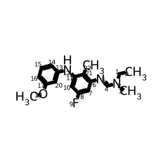 CCN(C)/C=N/c1cc(F)cc(Nc2cccc(OC)c2)c1C